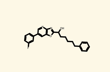 OC(CCCCCc1ccccc1)c1nc2ncc(-c3cccc(F)c3)cc2o1